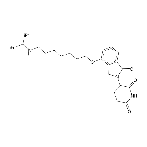 CC(C)C(NCCCCCCCSc1cccc2c1CN(C1CCC(=O)NC1=O)C2=O)C(C)C